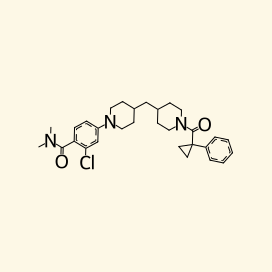 CN(C)C(=O)c1ccc(N2CCC(CC3CCN(C(=O)C4(c5ccccc5)CC4)CC3)CC2)cc1Cl